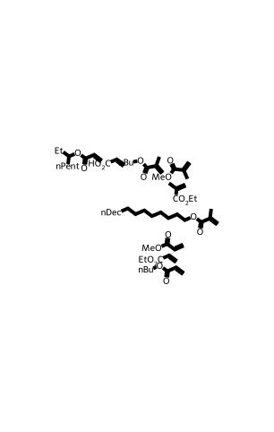 C=C(C)C(=O)OC.C=C(C)C(=O)OCC.C=C(C)C(=O)OCCCC.C=C(C)C(=O)OCCCCCCCCCCCCCCCCCC.C=CC(=O)O.C=CC(=O)OC.C=CC(=O)OC(CC)CCCCC.C=CC(=O)OCC.C=CC(=O)OCCCC